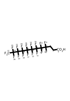 O=C(O)CCC(F)(F)C(F)(F)C(F)(F)C(F)(F)C(F)(F)C(F)(F)C(F)(F)C(F)(F)C(F)(F)F